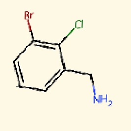 NCc1c[c]cc(Br)c1Cl